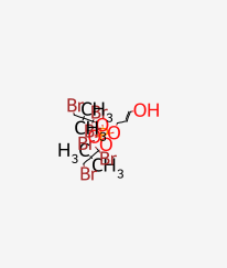 CC(C)(CBr)C(Br)(Br)OP(=O)(OCC=CO)OC(Br)(Br)C(C)(C)CBr